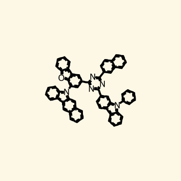 c1ccc(-n2c3ccccc3c3ccc(-c4nc(-c5ccc6ccccc6c5)nc(-c5cc(-n6c7ccccc7c7cc8ccccc8cc76)c6oc7ccccc7c6c5)n4)cc32)cc1